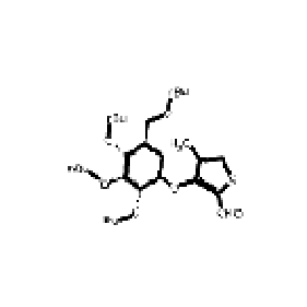 CCCCOC[C@H]1C[C@@H](OC2=C(C=O)SCC2C)[C@H](OCCCC)[C@@H](OCCCC)[C@@H]1OCCCC